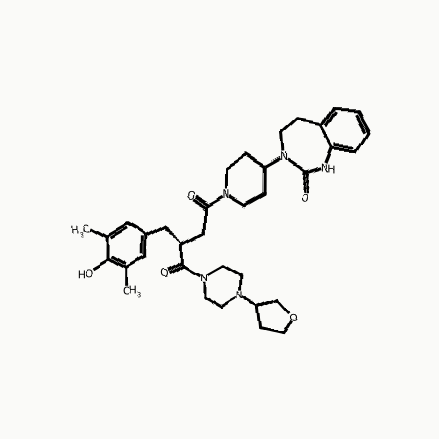 Cc1cc(C[C@@H](CC(=O)N2CCC(N3CCc4ccccc4NC3=O)CC2)C(=O)N2CCN(C3CCOC3)CC2)cc(C)c1O